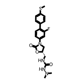 CSc1ccc(-c2ccc(N3C[C@H](CNC(=O)NN(C)C)OC3=O)cc2F)cc1